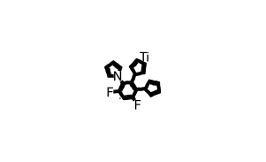 Fc1[c]c(F)c(-n2cccc2)c(C2C=CC=C2)c1C1C=CC=C1.[Ti]